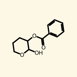 O=C(OC1CCCOC1O)c1ccccc1